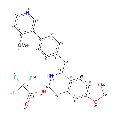 COc1ccncc1-c1ccc(CC2NCCc3cc4c(cc32)OCO4)cc1.O=C(O)C(F)(F)F